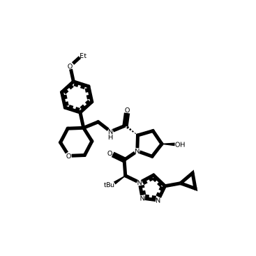 CCOc1ccc(C2(CNC(=O)[C@@H]3C[C@@H](O)CN3C(=O)[C@@H](n3cc(C4CC4)nn3)C(C)(C)C)CCOCC2)cc1